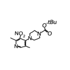 Cc1cnc(C)c([N+](=O)[O-])c1N1CCN(C(=O)OC(C)(C)C)CC1